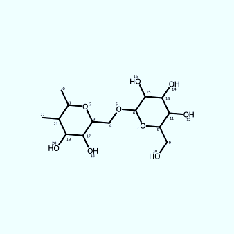 CC1OC(COC2OC(CO)C(O)C(O)C2O)C(O)C(O)C1C